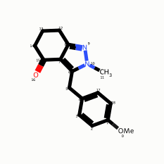 COc1ccc(Cc2c3c(nn2C)CCCC3=O)cc1